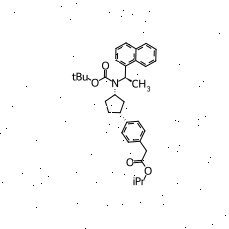 CC(C)OC(=O)Cc1ccc([C@@H]2CC[C@H](N(C(=O)OC(C)(C)C)[C@H](C)c3cccc4ccccc34)C2)cc1